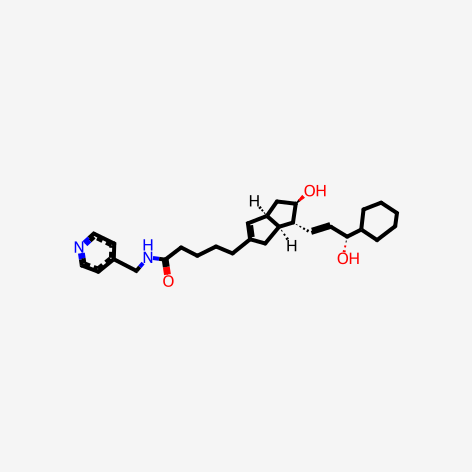 O=C(CCCCC1=C[C@H]2C[C@@H](O)[C@H](/C=C/[C@@H](O)C3CCCCC3)[C@H]2C1)NCc1ccncc1